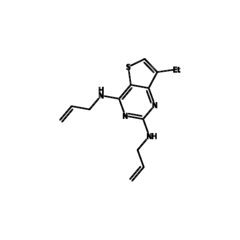 C=CCNc1nc(NCC=C)c2scc(CC)c2n1